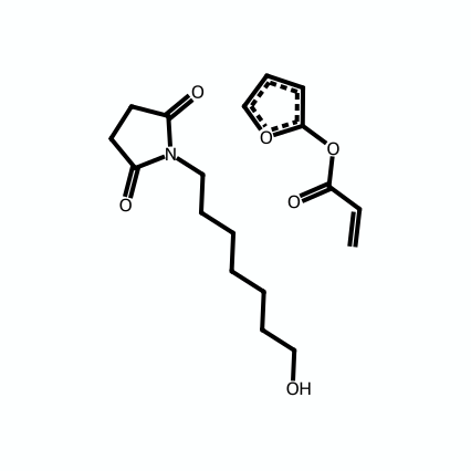 C=CC(=O)Oc1ccco1.O=C1CCC(=O)N1CCCCCCCO